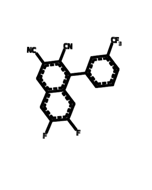 N#Cc1cc2cc(F)c(F)cc2c(-c2cccc(C(F)(F)F)c2)c1C#N